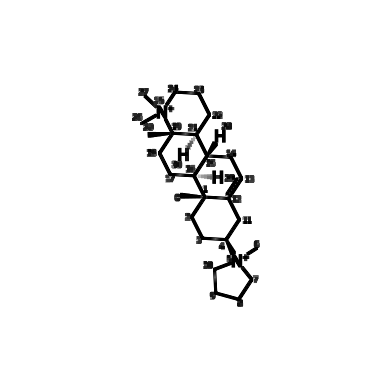 C[C@]12CC[C@H]([N+]3(C)CCCC3)CC1=CC[C@@H]1[C@@H]2CC[C@@]2(C)[C@H]1CCC[N+]2(C)C